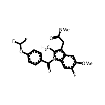 CNC(=O)Cc1c(C)n(C(=O)c2ccc(OC(F)F)cc2)c2cc(F)c(OC)cc12